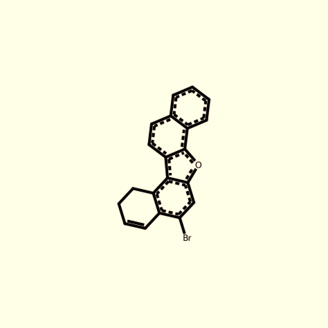 Brc1cc2oc3c4ccccc4ccc3c2c2c1C=CCC2